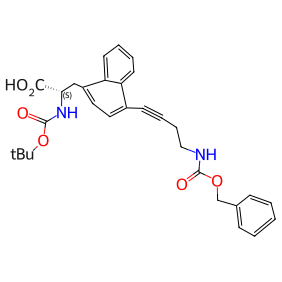 CC(C)(C)OC(=O)N[C@@H](Cc1ccc(C#CCCNC(=O)OCc2ccccc2)c2ccccc12)C(=O)O